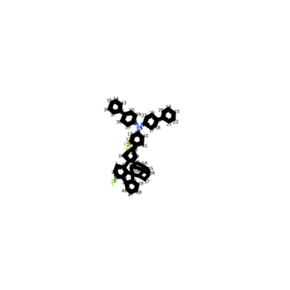 Fc1ccc(-c2ccc3c(c2)sc2cc(N(c4ccc(-c5ccccc5)cc4)c4ccc(-c5ccccc5)cc4)ccc23)c2c1-c1ccccc1C21C2CC3CC(C2)CC1C3